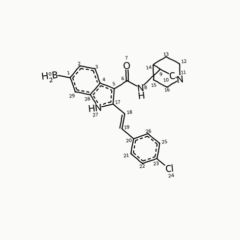 Bc1ccc2c(C(=O)NC3CN4CCC3CC4)c(/C=C/c3ccc(Cl)cc3)[nH]c2c1